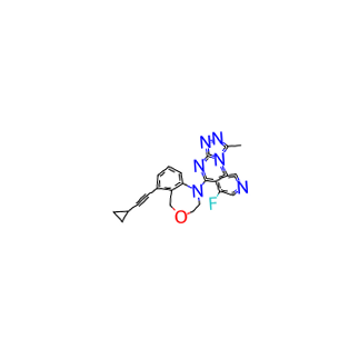 Cc1nnc2nc(N3CCOCc4c(C#CC5CC5)cccc43)c3c(F)cncc3n12